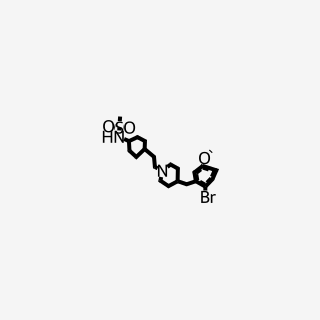 COc1ccc(Br)c(CC2CCN(CCC3CCC(NS(C)(=O)=O)CC3)CC2)c1